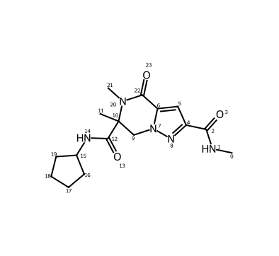 CNC(=O)c1cc2n(n1)CC(C)(C(=O)NC1CCCC1)N(C)C2=O